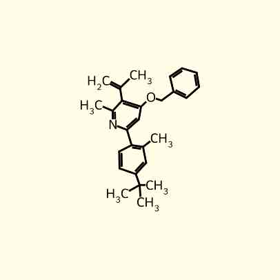 C=C(C)c1c(OCc2ccccc2)cc(-c2ccc(C(C)(C)C)cc2C)nc1C